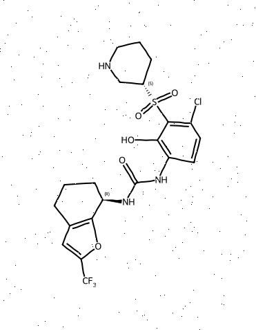 O=C(Nc1ccc(Cl)c(S(=O)(=O)[C@H]2CCCNC2)c1O)N[C@@H]1CCCc2cc(C(F)(F)F)oc21